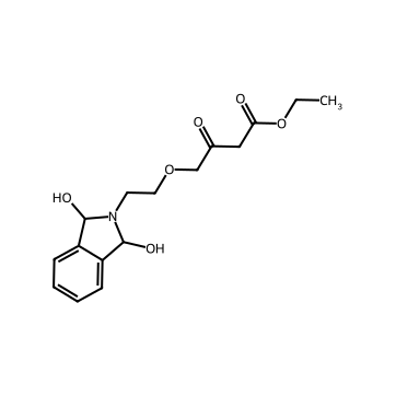 CCOC(=O)CC(=O)COCCN1C(O)c2ccccc2C1O